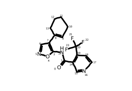 O=C(Nc1oncc1C1=CCCCC1)c1cnccc1C(F)(F)F